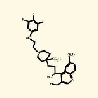 COc1ccc2ncc(CF)c(C(O)CCC3(C(=O)O)CCN(CCNc4cc(F)c(F)c(F)c4)CC3)c2c1